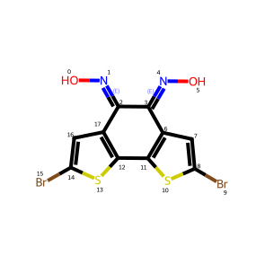 O/N=C1/C(=N/O)c2cc(Br)sc2-c2sc(Br)cc21